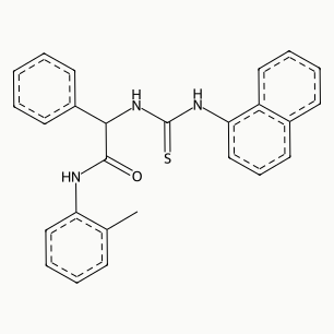 Cc1ccccc1NC(=O)C(NC(=S)Nc1cccc2ccccc12)c1ccccc1